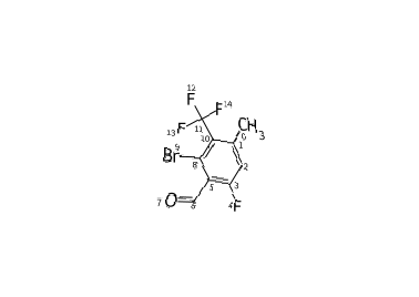 Cc1cc(F)c(C=O)c(Br)c1C(F)(F)F